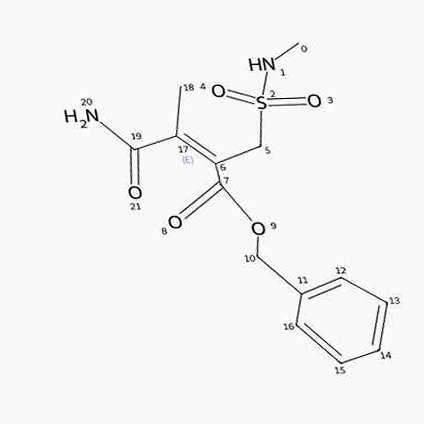 CNS(=O)(=O)C/C(C(=O)OCc1ccccc1)=C(\C)C(N)=O